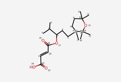 CC(C)C(CC[Si]1(C)CCC(C)(C)O[Si]1(C)C)OC(=O)C=CC(=O)O